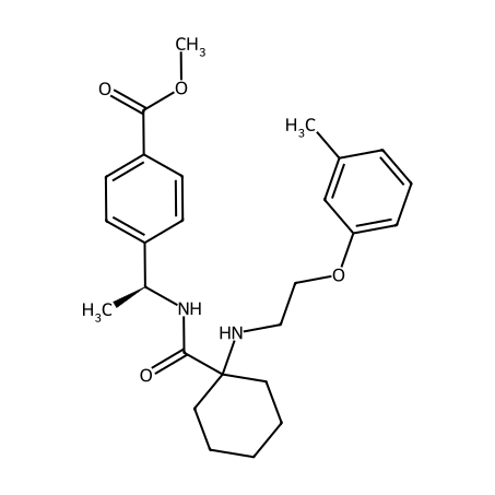 COC(=O)c1ccc([C@H](C)NC(=O)C2(NCCOc3cccc(C)c3)CCCCC2)cc1